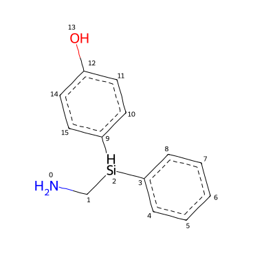 NC[SiH](c1ccccc1)c1ccc(O)cc1